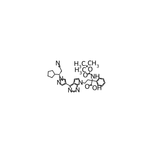 CC(C)(C)OC(=O)NC(CCn1ccc2c(-c3cnn([C@H](CC#N)C4CCCC4)c3)ncnc21)(C(=O)O)c1ccccc1